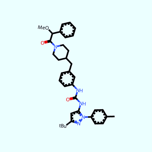 COC(C(=O)N1CCC(Cc2cccc(NC(=O)Nc3cc(C(C)(C)C)nn3-c3ccc(C)cc3)c2)CC1)c1ccccc1